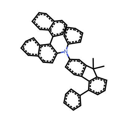 CC1(C)c2cc(N(c3ccccc3)c3ccc4ccccc4c3-c3cccc4ccccc34)ccc2-c2c(-c3ccccc3)cccc21